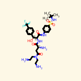 CC(C)(C)NS(=O)(=O)c1ccc(NC(=O)[C@@H](NC(=O)[C@@H](N)CC(=O)N(CCN)CCN)[C@H](O)c2ccc(C(F)(F)F)cc2)cc1